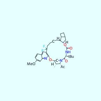 COc1ccc2cc3c(nc2c1)O[C@H]1CN(C(=O)[C@H](C(C)(C)C)NC(=O)O[C@@H]2CC4CCC4[C@H]2CCCCC3(F)F)[C@H](C(C)=O)[C@@H]1C